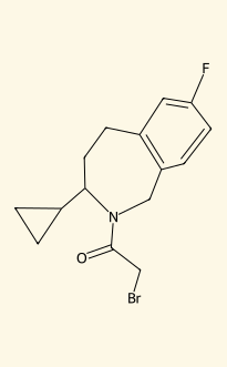 O=C(CBr)N1Cc2ccc(F)cc2CCC1C1CC1